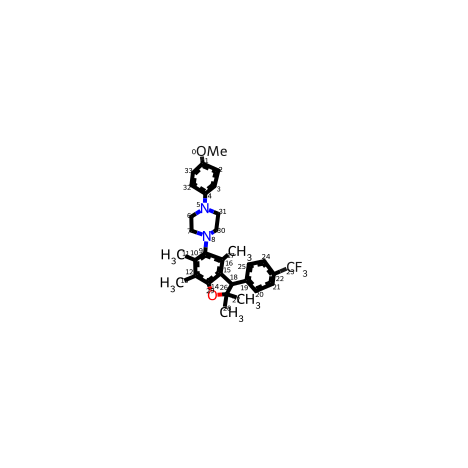 COc1ccc(N2CCN(c3c(C)c(C)c4c(c3C)C(c3ccc(C(F)(F)F)cc3)C(C)(C)O4)CC2)cc1